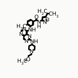 C=C(C)c1cc(NC(=O)c2ccc(C)c(Nc3ncnc4cnc(NC5CCN(CCOC)CC5)nc34)c2)no1